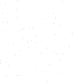 CC(C)(C)c1cc(C2CC2)cc2c(Cl)cc(OCNCC3COCCN3)nc12